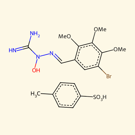 COc1c(Br)cc(C=NN(O)C(=N)N)c(OC)c1OC.Cc1ccc(S(=O)(=O)O)cc1